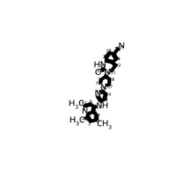 Cc1cc(C)c2nc(C)cc(Nc3ccc(N4CCC(N5CCc6cc(C#N)ccc6NC5=O)CC4)nc3)c2c1